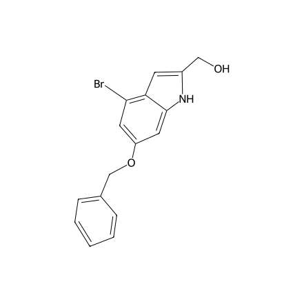 OCc1cc2c(Br)cc(OCc3ccccc3)cc2[nH]1